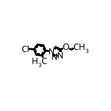 CCOc1cn(-c2ccc(Cl)cc2C)nn1